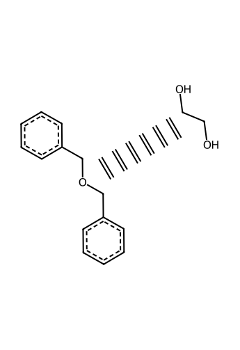 C=C.C=C.C=C.C=C.C=C.C=C.OCCO.c1ccc(COCc2ccccc2)cc1